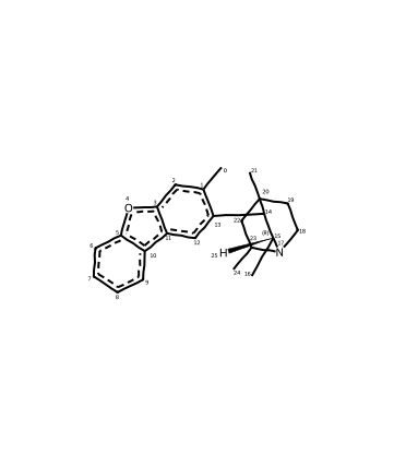 Cc1cc2oc3ccccc3c2cc1C1[C@@H](C)N2CCC1(C)CC2C